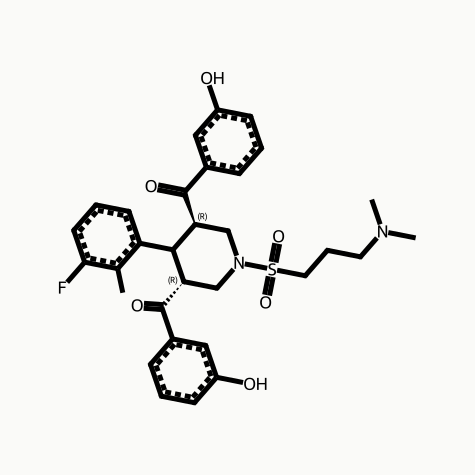 Cc1c(F)cccc1C1[C@@H](C(=O)c2cccc(O)c2)CN(S(=O)(=O)CCCN(C)C)C[C@@H]1C(=O)c1cccc(O)c1